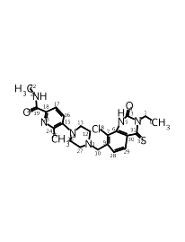 CCn1c(=O)[nH]c2c(Cl)c(CN3CCN(c4ccc(C(=O)NC)nc4C)CC3)ccc2c1=S